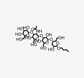 CCCCO[C@@H]1OC(CO)[C@@H](O[C@@H]2OC(CO)[C@H](O)C(O[C@@H]3OC(CO)[C@@H](O)C(O[C@@H]4OC(CO)[C@H](O)C(O)[C@@H]4O)[C@@H]3NC(C)=O)[C@@H]2O)C[C@@H]1O